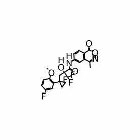 COc1ccc(F)cc1C1(CC(O)(C(=O)Nc2ccc3c(=O)onc(C)c3c2)C(F)(F)F)CC1